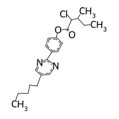 CCCCCc1cnc(-c2ccc(OC(=O)C(Cl)C(C)CC)cc2)nc1